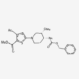 COC(=O)c1sc(N2CC[C@@H](NC(=O)OCc3ccccc3)[C@@H](OC)C2)cc1C(C)=O